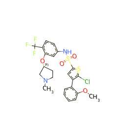 COc1ccccc1-c1cc(S(=O)(=O)Nc2ccc(C(F)(F)F)c(O[C@@H]3CCN(C)C3)c2)sc1Cl